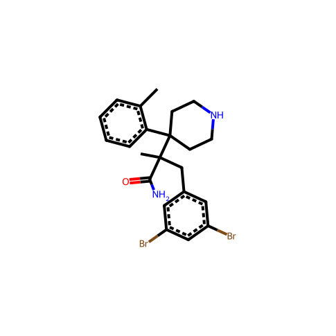 Cc1ccccc1C1(C(C)(Cc2cc(Br)cc(Br)c2)C(N)=O)CCNCC1